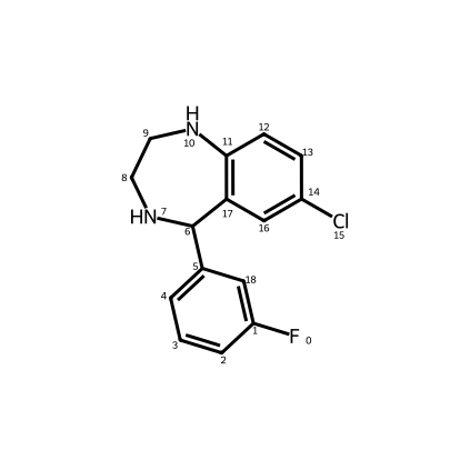 Fc1cccc(C2NCCNc3ccc(Cl)cc32)c1